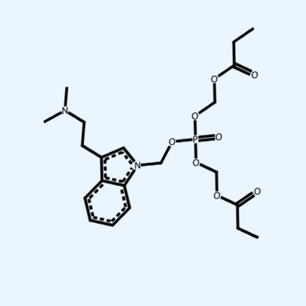 CCC(=O)OCOP(=O)(OCOC(=O)CC)OCn1cc(CCN(C)C)c2ccccc21